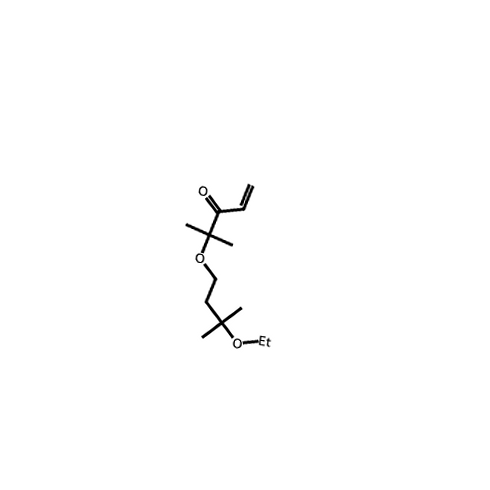 C=CC(=O)C(C)(C)OCCC(C)(C)OCC